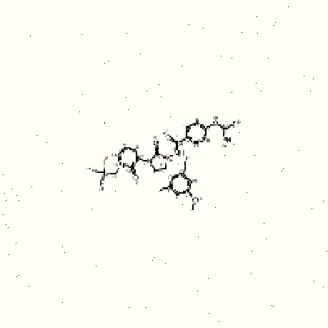 COc1cc(C)c([C@@H]2CN(c3cccn(CC(F)(F)F)c3=O)C(=O)[C@H]2NC(=O)c2ccc(OC(F)P)cc2)c(F)c1